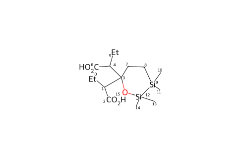 CCC(C(=O)O)C1(C(CC)C(=O)O)CC[Si](C)(C)[Si](C)(C)O1